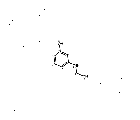 OCNc1cncc(O)c1